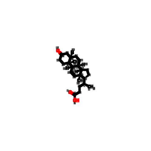 C[C@@H](CCC(=O)O)[C@H]1CC[C@H]2[C@@H]3CC[C@@H]4CC(=O)CC[C@]4(C)[C@H]3C=C[C@]12C